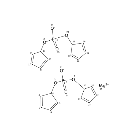 O=P([O-])(OC1C=CC=C1)OC1C=CC=C1.O=P([O-])(OC1C=CC=C1)OC1C=CC=C1.[Mg+2]